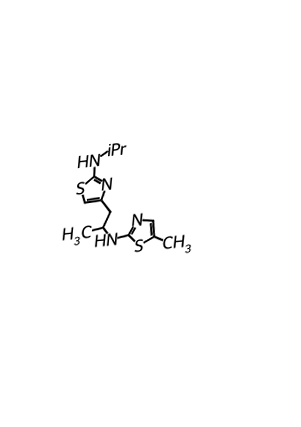 Cc1cnc(NC(C)Cc2csc(NC(C)C)n2)s1